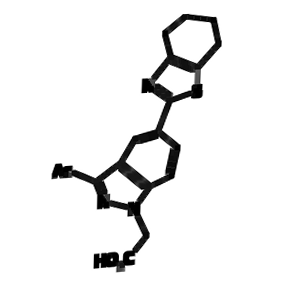 CC(=O)c1nn(CC(=O)O)c2ccc(-c3nc4c(s3)CCCC4)cc12